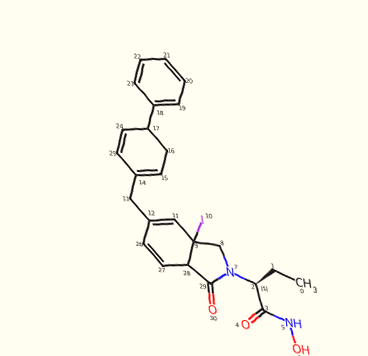 CC[C@@H](C(=O)NO)N1CC2(I)C=C(CC3=CCC(c4ccccc4)C=C3)C=CC2C1=O